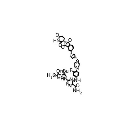 CCCC[C@H](CNc1nnc(C(N)=O)c(Nc2ccc(N3CCN(C[C@@H]4CCN(c5ccc6c(c5)C(=O)N(C5CCC(=O)NC5=O)C6=O)C4)CC3)c(F)c2)n1)N1CCN(C)C1=O